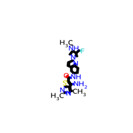 CCNC1CN(c2ccc3c(n2)CCC(NC(=O)c2sc4nc(C)nc(C)c4c2N)C3)CC1CF